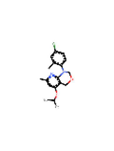 CCC(CC)Oc1cc(C)nc2c1COCN2c1ccc(Cl)cc1C